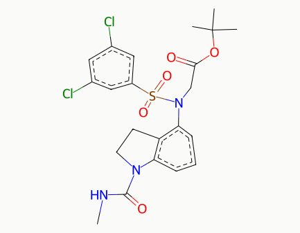 CNC(=O)N1CCc2c1cccc2N(CC(=O)OC(C)(C)C)S(=O)(=O)c1cc(Cl)cc(Cl)c1